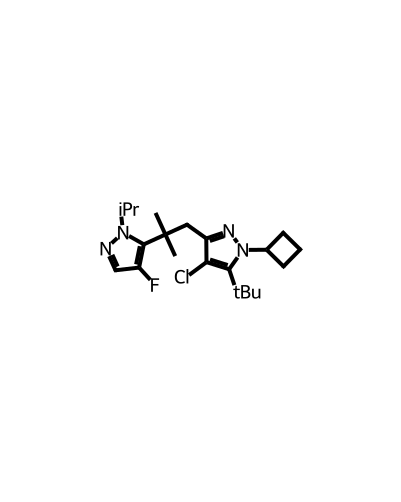 CC(C)n1ncc(F)c1C(C)(C)Cc1nn(C2CCC2)c(C(C)(C)C)c1Cl